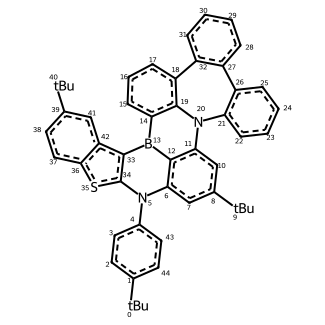 CC(C)(C)c1ccc(N2c3cc(C(C)(C)C)cc4c3B(c3cccc5c3N4c3ccccc3-c3ccccc3-5)c3c2sc2ccc(C(C)(C)C)cc32)cc1